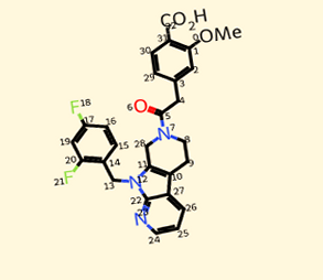 COc1cc(CC(=O)N2CCc3c(n(Cc4ccc(F)cc4F)c4ncccc34)C2)ccc1C(=O)O